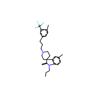 C=C1N(CCC)c2ccc(C)cc2C12CCN(CCCc1ccc(C)c(C(F)(F)F)c1)CC2